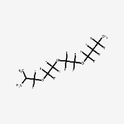 CC(C)C(F)(F)OC(F)(F)C(F)(F)OC(F)(F)C(F)(F)OC(F)(F)C(F)(F)C(C)(F)F